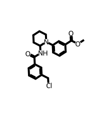 COC(=O)c1cccc(N2CCCCC2NC(=O)c2cccc(CCl)c2)c1